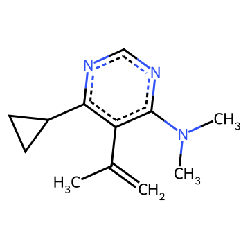 C=C(C)c1c(C2CC2)ncnc1N(C)C